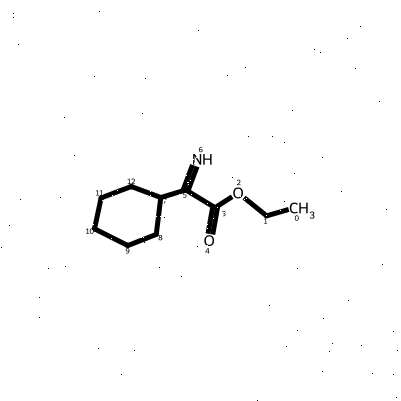 CCOC(=O)C(=N)C1CCCCC1